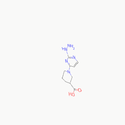 NNc1nccc(N2CCCC(C(=O)O)C2)n1